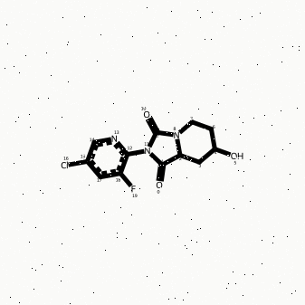 O=C1C2CC(O)CCN2C(=O)N1c1ncc(Cl)cc1F